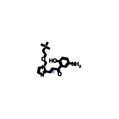 C[Si](C)(C)CCOCn1ccnc1/C=C/C(=O)c1cc(N)ccc1O